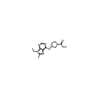 CCC(=O)N1CC[C@H](Oc2ncnc3c2nc(I)n3CC)C1